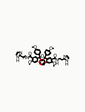 COc1ccc(C(OC(c2ccccc2)(c2ccc(OC)cc2)c2ccc(OC)c(C(=O)NCCc3ncc[nH]3)c2)(c2ccccc2)c2ccc(OC)c(C(=O)NCCc3ncc[nH]3)c2)cc1